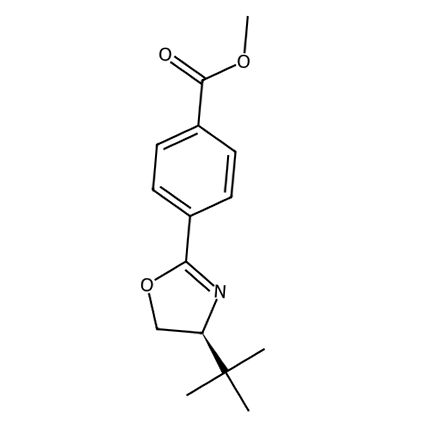 COC(=O)c1ccc(C2=N[C@@H](C(C)(C)C)CO2)cc1